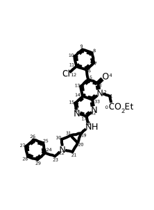 CCOC(=O)Cn1c(=O)c(-c2ccccc2Cl)cc2cnc(NC3C4CN(Cc5ccccc5)CC43)nc21